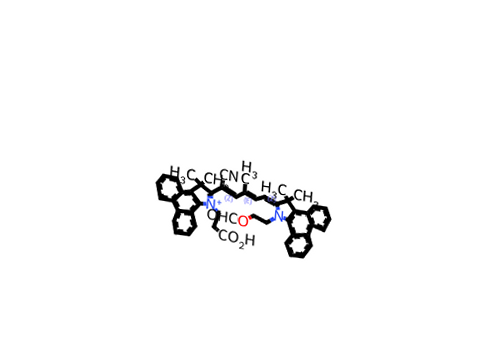 CC(/C=C(\C#N)C1=[N+](CCC(=O)O)c2c(c3ccccc3c3ccccc23)C1(C)C)=C\C=C1/N(CCOC=O)c2c(c3ccccc3c3ccccc23)C1(C)C